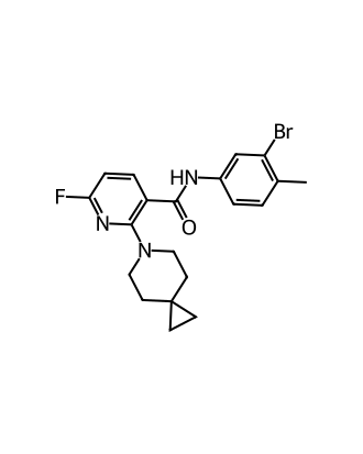 Cc1ccc(NC(=O)c2ccc(F)nc2N2CCC3(CC2)CC3)cc1Br